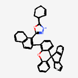 C1=CC(C2NN=C(c3c(-c4cccc5c4Oc4ccccc4C54C5=C(C=CCC5)C5=C4CCC=C5)ccc4c3CCC=C4)O2)CCC1